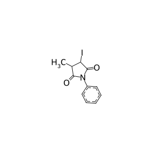 CC1C(=O)N(c2ccccc2)C(=O)C1I